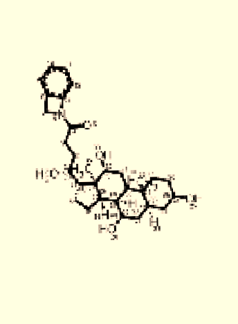 C[C@H](CCC(=O)N1Cc2ccccc21)[C@H]1CC[C@H]2[C@@H]3[C@H](O)C[C@@H]4C[C@H](O)CC[C@]4(C)[C@H]3C[C@H](O)[C@]12C